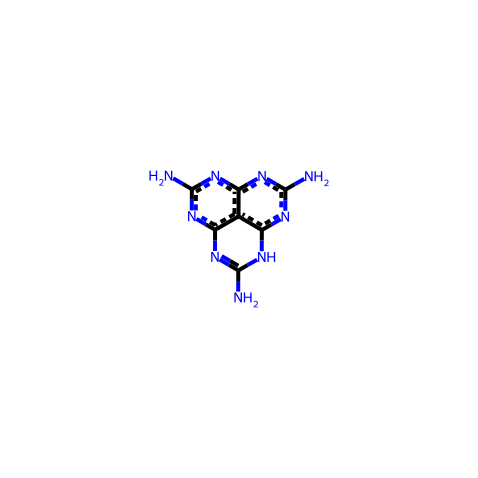 NC1=Nc2nc(N)nc3nc(N)nc(c23)N1